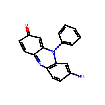 Nc1ccc2nc3ccc(=O)cc-3n(-c3ccccc3)c2c1